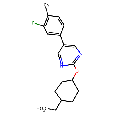 N#Cc1ccc(-c2cnc(OC3CCC(CC(=O)O)CC3)nc2)cc1F